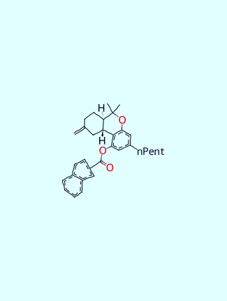 C=C1CC[C@@H]2[C@@H](C1)c1c(OC(=O)c3ccc4ccccc4c3)cc(CCCCC)cc1OC2(C)C